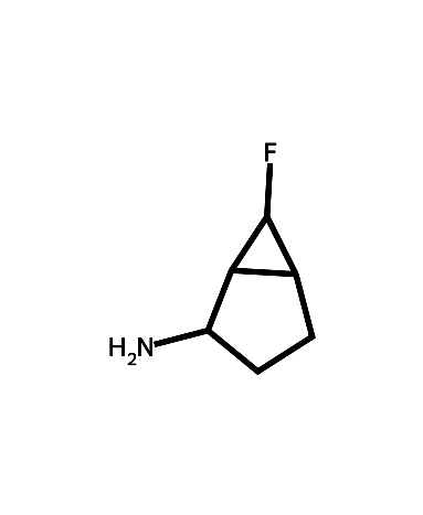 NC1CCC2C(F)C12